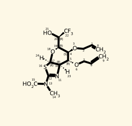 C=CCO[C@H]1[C@H](OCC=C)[C@H]2N=C(N(C)C(=O)O)S[C@H]2O[C@@H]1[C@@H](O)C(F)(F)F